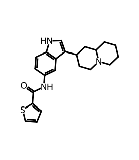 O=C(Nc1ccc2[nH]cc(C3CCN4CCCCC4C3)c2c1)c1cccs1